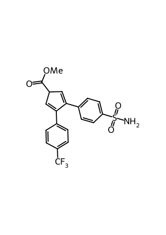 COC(=O)C1C=C(c2ccc(C(F)(F)F)cc2)C(c2ccc(S(N)(=O)=O)cc2)=C1